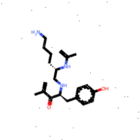 C=C(C)N[C@@H](CCCCN)CN[C@@H](Cc1ccc(O)cc1)C(=O)C(=C)C